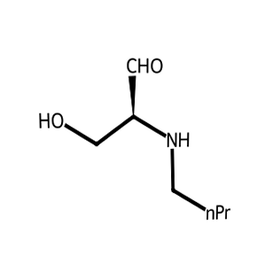 CCCCN[C@H](C=O)CO